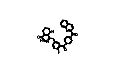 O=C(c1ccc2ccccc2n1)N1CCN(C(=O)c2cc(Cc3n[nH]c(=O)c4c3NCCC4)ccc2F)CC1